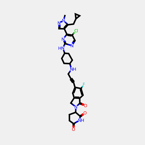 Cn1ncc(-c2nc(NC3CCC(NCC#Cc4cc5c(cc4F)C(=O)N(C4CCC(=O)NC4=O)C5)CC3)ncc2Cl)c1CC1CC1